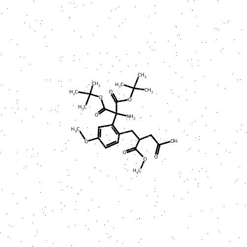 COC(=O)C(CC(=O)O)Cc1ccc(OC)cc1C(N)(C(=O)OC(C)(C)C)C(=O)OC(C)(C)C